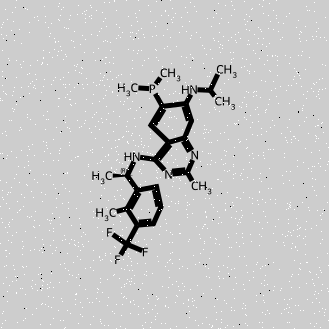 Cc1nc(N[C@H](C)c2cccc(C(F)(F)F)c2C)c2cc(P(C)C)c(NC(C)C)cc2n1